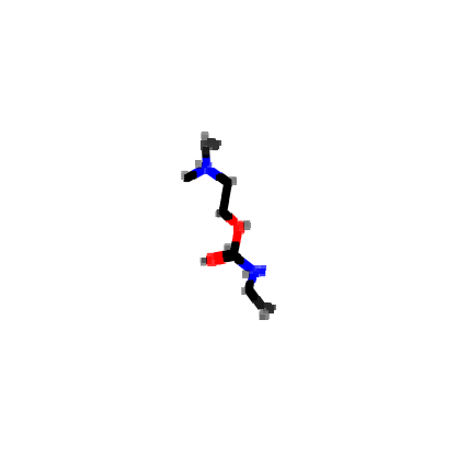 CCCN(C)CCOC(=O)NCC(C)C